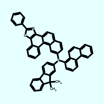 CC1(C)c2ccccc2-c2ccc(N(c3ccc4ccc5c6nc(-c7ccccc7)oc6c6ccccc6c5c4c3)c3cccc4c3ccc3ccccc34)cc21